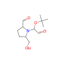 CC(C)(C)OC(C=O)N1C(C=O)CCC1CO